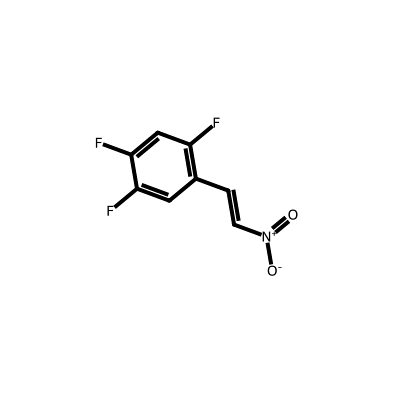 O=[N+]([O-])/C=C/c1cc(F)c(F)cc1F